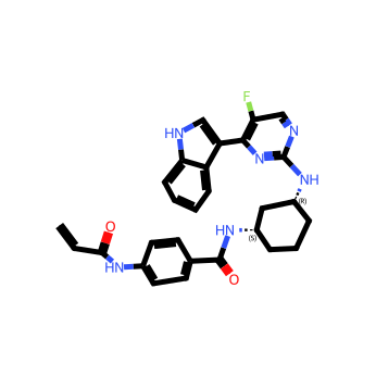 C=CC(=O)Nc1ccc(C(=O)N[C@H]2CCC[C@@H](Nc3ncc(F)c(-c4c[nH]c5ccccc45)n3)C2)cc1